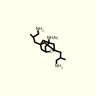 CC(=O)NC12CC3CC(CC(C)CN)(CC(CC(C)CN)(C3)C1)C2